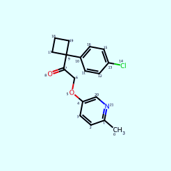 Cc1ccc(OCC(=O)C2(c3ccc(Cl)cc3)CCC2)cn1